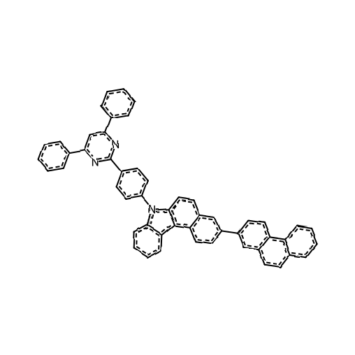 c1ccc(-c2cc(-c3ccccc3)nc(-c3ccc(-n4c5ccccc5c5c6ccc(-c7ccc8c(ccc9ccccc98)c7)cc6ccc54)cc3)n2)cc1